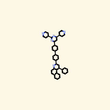 c1ccc(-c2cc(-c3ccc(-c4ccc(-c5cc(-c6ccncc6)nc(-c6ccncc6)n5)cc4)cc3)nc3ccc4ccccc4c23)cc1